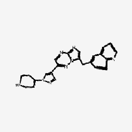 c1cnc2ccc(Cc3cnc4ncc(-c5cnn(C6CCNCC6)c5)nn34)cc2c1